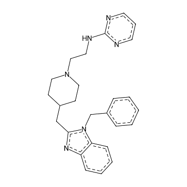 c1ccc(Cn2c(CC3CCN(CCNc4ncccn4)CC3)nc3ccccc32)cc1